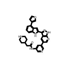 O=C(CC1CCNCC1)Nc1cncc(-c2cnc3[nH]nc(-c4cc5c(-c6ccoc6)cccc5[nH]4)c3c2)c1